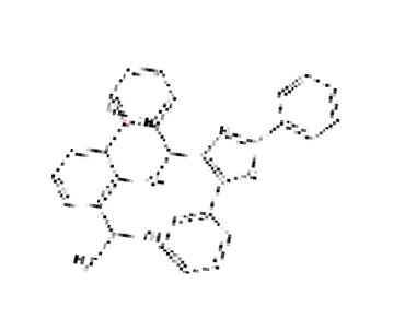 CC(C)c1cccc(C(C)C)c1NC(c1ccccc1)c1nc(-c2ccccc2)oc1-c1ccccc1